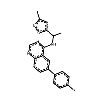 Cc1noc(C(C)Nc2ncnc3ncc(-c4ccc(F)cc4)cc23)n1